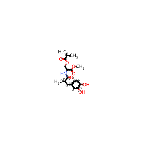 COC(=O)C(COC(=O)C(C)C)NC(=O)C(C)Cc1ccc(O)c(O)c1